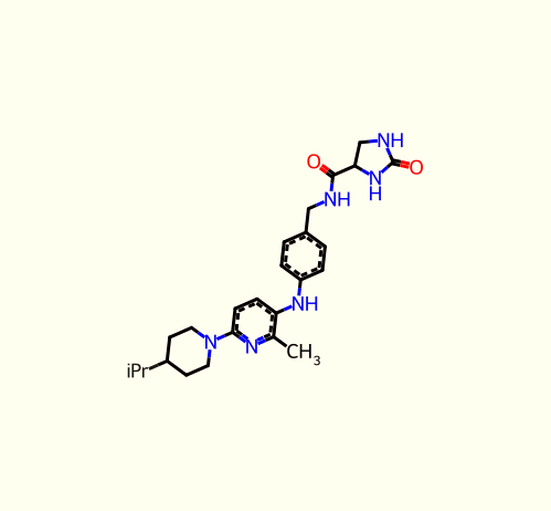 Cc1nc(N2CCC(C(C)C)CC2)ccc1Nc1ccc(CNC(=O)C2CNC(=O)N2)cc1